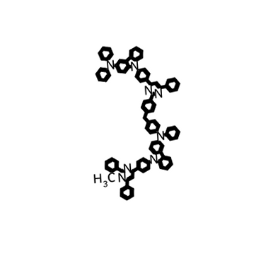 Cc1ccccc1-c1nc(-c2ccccc2)cc(-c2ccc(-n3c4ccccc4c4cc(N(c5ccccc5)c5ccc(Cc6ccc(-c7nc(-c8ccccc8)cc(-c8ccc(-n9c%10ccccc%10c%10cc(N(c%11ccccc%11)c%11ccccc%11)ccc%109)cc8)n7)cc6)cc5)ccc43)cc2)n1